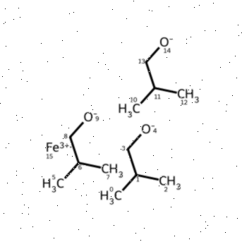 CC(C)C[O-].CC(C)C[O-].CC(C)C[O-].[Fe+3]